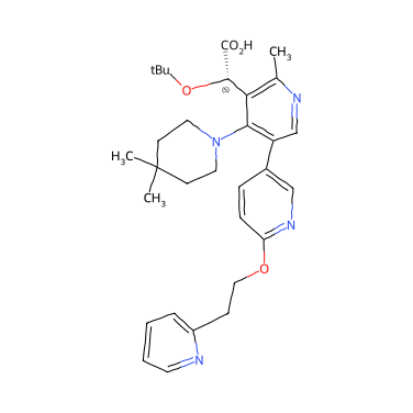 Cc1ncc(-c2ccc(OCCc3ccccn3)nc2)c(N2CCC(C)(C)CC2)c1[C@H](OC(C)(C)C)C(=O)O